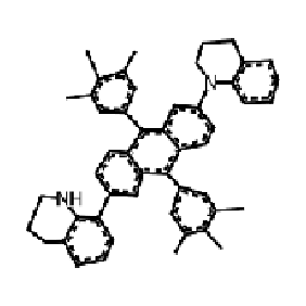 Cc1cc(-c2c3ccc(N4CCCc5ccccc54)cc3c(-c3cc(C)c(C)c(C)c3)c3ccc(-c4cccc5c4NCCC5)cc23)cc(C)c1C